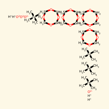 O1[SiH2]O[SiH2]O[SiH2]O[SiH2]1.O1[SiH2]O[SiH2]O[SiH2]O[SiH2]1.O1[SiH2]O[SiH2]O[SiH2]O[SiH2]1.O1[SiH2]O[SiH2]O[SiH2]O[SiH2]1.[CH3][Fe-]([CH3])([CH3])[CH3].[CH3][Fe-]([CH3])([CH3])[CH3].[CH3][Fe-]([CH3])([CH3])[CH3].[CH3][Fe-]([CH3])([CH3])[CH3].[H+].[H+].[H+].[H+].[O-2].[O-2].[O-2].[O-2]